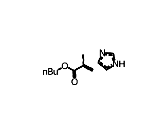 C=C(C)C(=O)OCCCC.c1c[nH]cn1